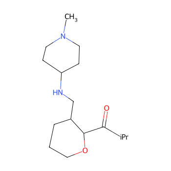 CC(C)C(=O)C1OCCCC1CNC1CCN(C)CC1